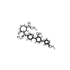 CN[C@H]1CCC[C@@H](F)[C@@H](N(C)c2ccc(-c3ccc(-c4cnn(C)c4)cc3O)nn2)C1